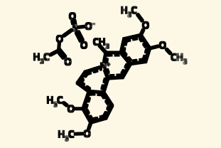 CC(=O)OS(=O)(=O)[O-].COc1cc2cc3c4ccc(OC)c(OC)c4cc[n+]3c(C)c2cc1OC